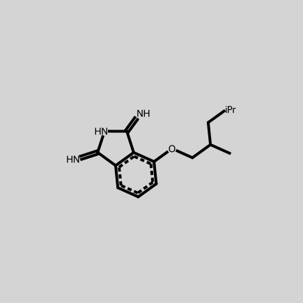 CC(C)CC(C)COc1cccc2c1C(=N)NC2=N